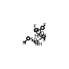 N#Cc1cccc(SC[C@@H]2CNC[C@@H](CCc3c(F)cncc3N[C@@H](Cc3ccc(F)cc3)C(=O)Nc3ccc(F)cc3)O2)c1